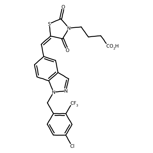 O=C(O)CCCN1C(=O)SC(=Cc2ccc3c(cnn3Cc3ccc(Cl)cc3C(F)(F)F)c2)C1=O